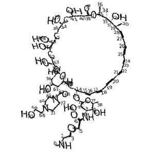 CNCCOCC(=O)N[C@@H]1[C@H](O)[C@@H](O[C@H]2/C=C/C=C/C=C/C=C/C=C/C=C/C=C/[C@H](C)[C@@H](O)[C@@H](C)[C@H](C)OC(=O)C[C@H](O)C[C@H](O)CC[C@@H](O)[C@H](O)C[C@H](O)C[C@]3(O)C[C@H](O)[C@@H](C(=O)N4CCN(CCO)CC4)[C@H](C2)O3)O[C@@H](C)[C@H]1O